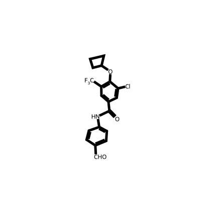 O=Cc1ccc(NC(=O)c2cc(Cl)c(OC3CCC3)c(C(F)(F)F)c2)cc1